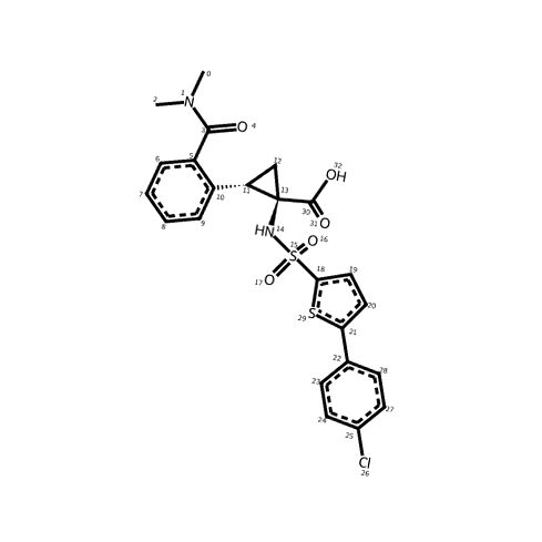 CN(C)C(=O)c1ccccc1[C@@H]1C[C@]1(NS(=O)(=O)c1ccc(-c2ccc(Cl)cc2)s1)C(=O)O